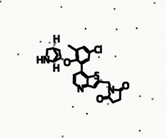 Cc1cc(Cl)cc(-c2ccnc3cc(CN4C(=O)CCC4=O)sc23)c1O[C@H]1C[C@@H]2CN[C@H]1C2